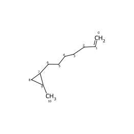 C=CCCCCCC1CC1C